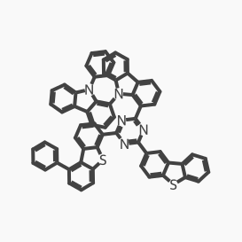 c1ccc(-c2cccc3sc4c(-c5nc(-c6ccc7sc8ccccc8c7c6)nc(-c6cccc7c8ccccc8n(-c8cccc9c%10ccccc%10n(-c%10ccccc%10)c89)c67)n5)cccc4c23)cc1